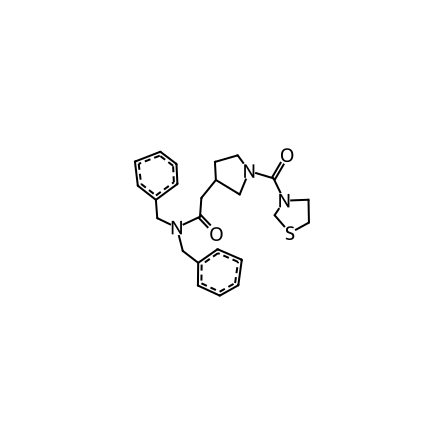 O=C(CC1CCN(C(=O)N2CCSC2)C1)N(Cc1ccccc1)Cc1ccccc1